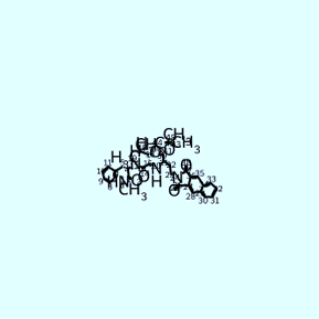 CNC(=O)[C@H](Cc1ccccc1)NC(=O)[C@H](CC(C)C)NC(CCN1C(=O)c2cc3ccccc3cc2C1=O)C(=O)OC(C)(C)C